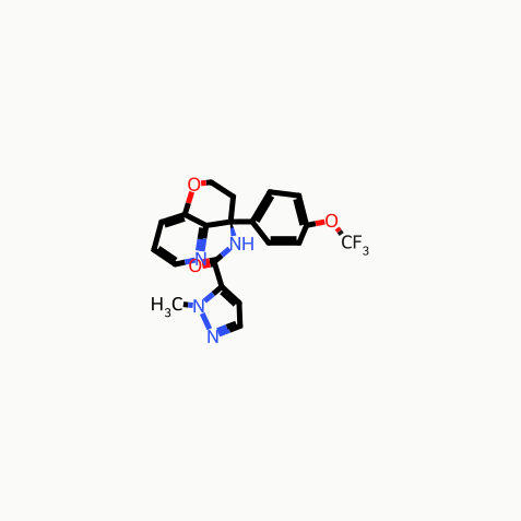 Cn1nccc1C(=O)N[C@]1(c2ccc(OC(F)(F)F)cc2)CCOc2cccnc21